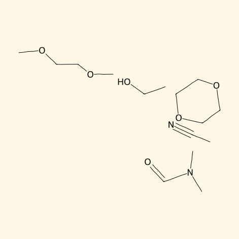 C1COCCO1.CC#N.CCO.CN(C)C=O.COCCOC